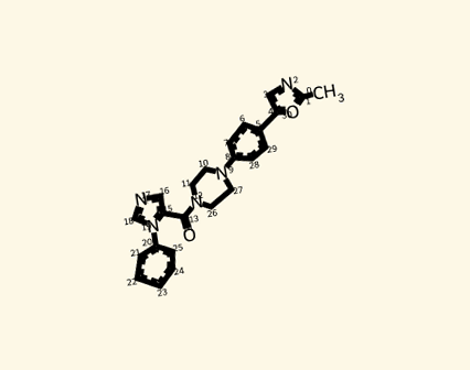 Cc1ncc(-c2ccc(N3CCN(C(=O)c4cncn4-c4ccccc4)CC3)cc2)o1